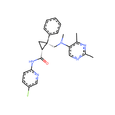 Cc1ncc(N(C)C[C@@]2(c3ccccc3)C[C@H]2C(=O)Nc2ccc(F)cn2)c(C)n1